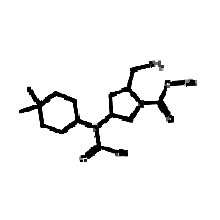 CC1(C)CCC(N(C(=O)C(C)(C)C)C2CC(CN)N(C(=O)OC(C)(C)C)C2)CC1